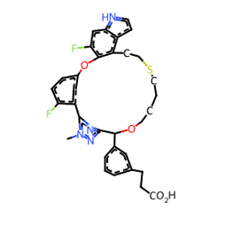 Cn1nc2nc1-c1cc(ccc1F)Oc1c(F)cc3[nH]ccc3c1CCSCCCCOC2c1cccc(CCC(=O)O)c1